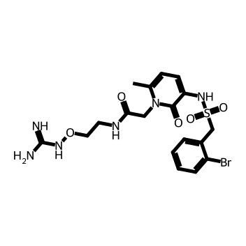 Cc1ccc(NS(=O)(=O)Cc2ccccc2Br)c(=O)n1CC(=O)NCCONC(=N)N